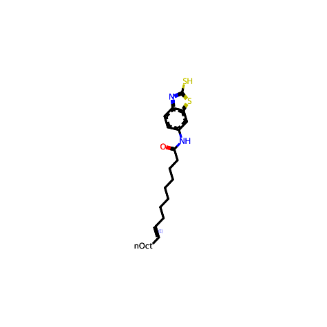 CCCCCCCC/C=C/CCCCCCCC(=O)Nc1ccc2nc(S)sc2c1